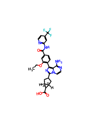 CCOc1cc(C(=O)Nc2cc(C(F)(F)F)ccn2)ccc1-c1nc(C2C[C@@H]3C(C(=O)O)[C@@H]3C2)n2ccnc(N)c12